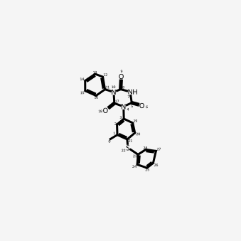 Cc1cc(-n2c(=O)[nH]c(=O)n(-c3ccccc3)c2=O)ccc1Sc1ccccc1